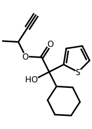 C#CC(C)OC(=O)C(O)(c1cccs1)C1CCCCC1